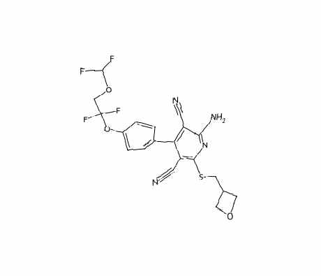 N#Cc1c(N)nc(SCC2COC2)c(C#N)c1-c1ccc(OC(F)(F)COC(F)F)cc1